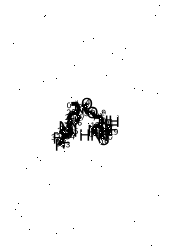 CCN(C(=O)COC[C@H](C)Nc1cn[nH]c(=O)c1C(F)(F)F)C1CCN(c2ncc(C(F)(F)F)cn2)CC1